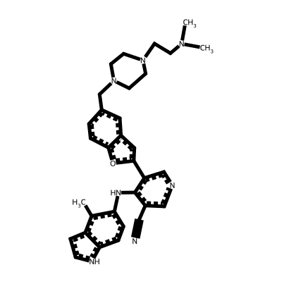 Cc1c(Nc2c(C#N)cncc2-c2cc3cc(CN4CCN(CCN(C)C)CC4)ccc3o2)ccc2[nH]ccc12